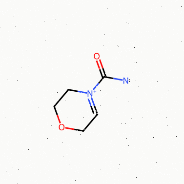 [N]C(=O)[N+]1=CCOCC1